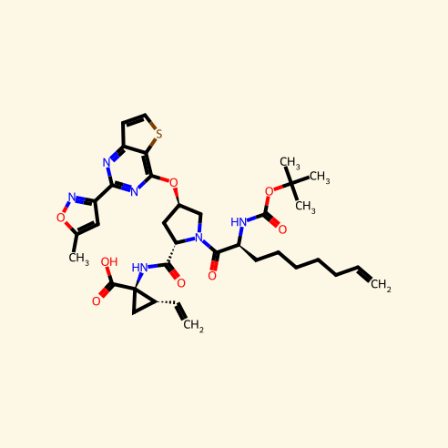 C=CCCCCC[C@H](NC(=O)OC(C)(C)C)C(=O)N1C[C@H](Oc2nc(-c3cc(C)on3)nc3ccsc23)C[C@H]1C(=O)N[C@]1(C(=O)O)C[C@H]1C=C